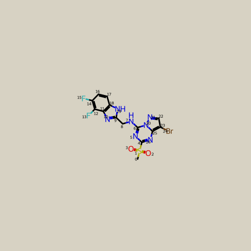 CS(=O)(=O)c1nc(NCc2nc3c(F)c(F)ccc3[nH]2)n2ncc(Br)c2n1